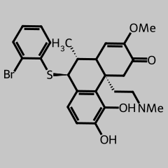 CNCC[C@@]12CC(=O)C(OC)=CC1[C@@H](C)[C@H](Sc1ccccc1Br)c1ccc(O)c(O)c12